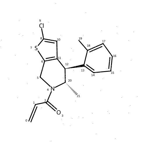 C=CC(=O)N1Cc2sc(Cl)cc2[C@@H](c2ccccc2C)[C@@H]1C